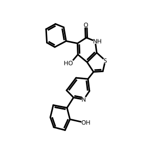 O=c1[nH]c2scc(-c3ccc(-c4ccccc4O)nc3)c2c(O)c1-c1ccccc1